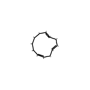 [CH]1C/C=C/C/C=C/C/C=C\CC1